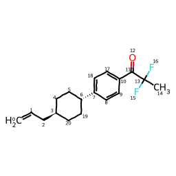 C=CC[C@H]1CC[C@H](c2ccc(C(=O)C(C)(F)F)cc2)CC1